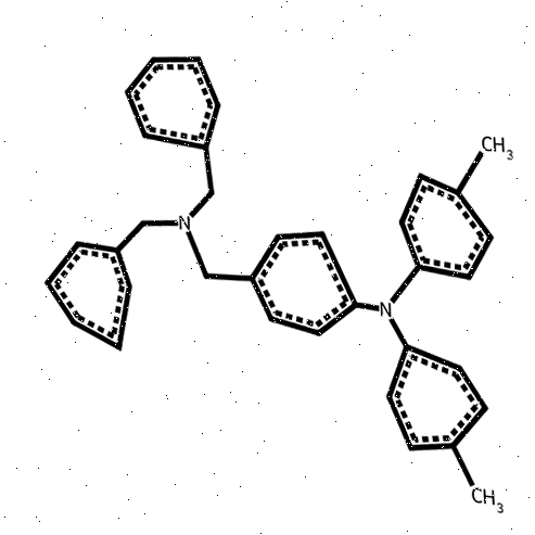 Cc1ccc(N(c2ccc(C)cc2)c2ccc(CN(Cc3ccccc3)Cc3ccccc3)cc2)cc1